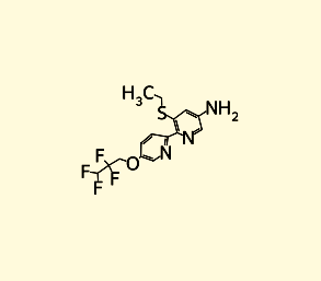 CCSc1cc(N)cnc1-c1ccc(OCC(F)(F)C(F)F)cn1